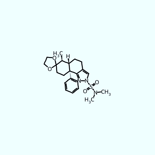 C[C@H]1[C@@H]2CCc3cn(S(=O)(=O)N(C)C)nc3[C@@]2(c2ccccc2)CCC12OCCO2